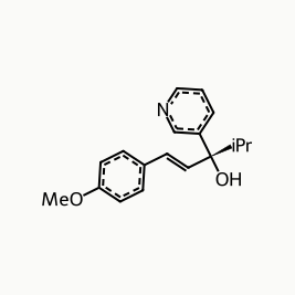 COc1ccc(C=C[C@@](O)(c2cccnc2)C(C)C)cc1